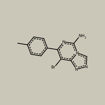 Cc1ccc(-c2nc(N)n3cnnc3c2Br)cc1